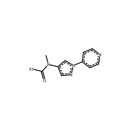 CCC(=O)N(C)c1cnn(-c2ccncc2)c1